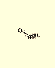 Nc1cc(OCCOc2ccccc2)n[nH]1